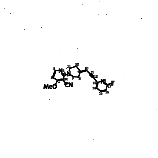 COc1ccnc(N2CCC(=CC#Cc3cccc(F)n3)CC2)c1C#N